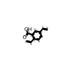 C=Cc1ccc(C=C)c(C(=O)O)c1